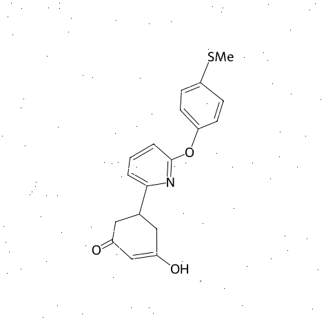 CSc1ccc(Oc2cccc(C3CC(=O)C=C(O)C3)n2)cc1